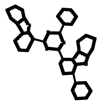 c1ccc(-c2nc(-c3cccc4c3sc3ccccc34)nc(-c3ccc(-c4ccccc4)c4oc5ccccc5c34)n2)cc1